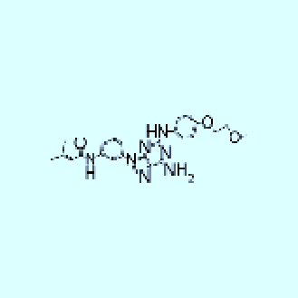 COCCOc1ccc(Nc2nc(N)c3ncn(-c4cccc(NC(=O)C=C(C)C)c4)c3n2)cc1